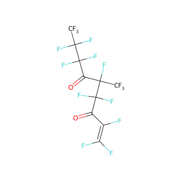 O=C(C(F)=C(F)F)C(F)(F)C(F)(C(=O)C(F)(F)C(F)(F)C(F)(F)F)C(F)(F)F